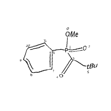 COP(=O)(C(=O)C(C)(C)C)c1ccccc1